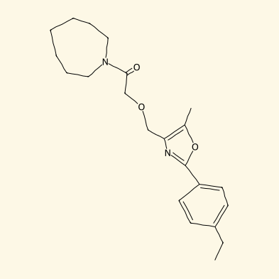 CCc1ccc(-c2nc(COCC(=O)N3CCCCCCC3)c(C)o2)cc1